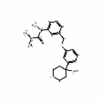 COC1(c2cccc(SCc3cccc(N(C)C(=O)N(C)C)c3)c2)CCOCC1